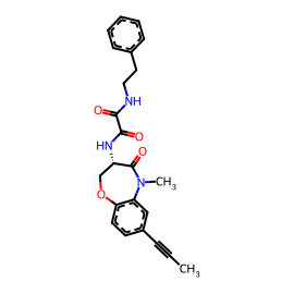 CC#Cc1ccc2c(c1)N(C)C(=O)[C@@H](NC(=O)C(=O)NCCc1ccccc1)CO2